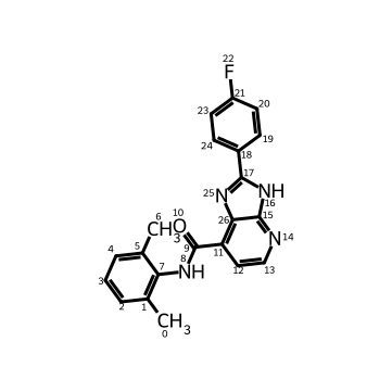 Cc1cccc(C)c1NC(=O)c1ccnc2[nH]c(-c3ccc(F)cc3)nc12